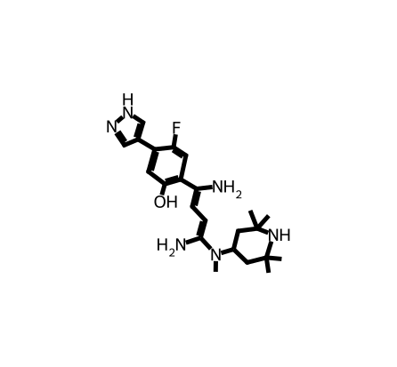 CN(/C(N)=C/C=C(\N)c1cc(F)c(-c2cn[nH]c2)cc1O)C1CC(C)(C)NC(C)(C)C1